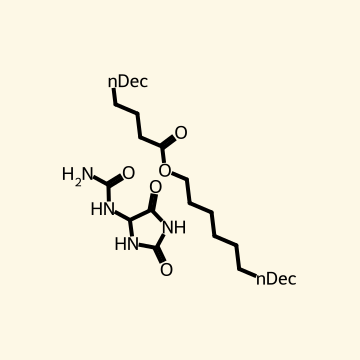 CCCCCCCCCCCCCCCCOC(=O)CCCCCCCCCCCCC.NC(=O)NC1NC(=O)NC1=O